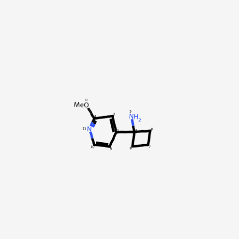 COc1cc(C2(N)CCC2)ccn1